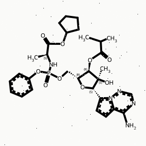 CC(C)C(=O)O[C@@H]1[C@@H](COP(=O)(N[C@@H](C)C(=O)OC2CCCC2)Oc2ccccc2)O[C@@H](c2ccc3c(N)ncnn23)[C@]1(C)O